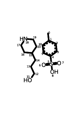 Cc1ccc(S(=O)(=O)O)cc1.OCCCC1CCNCC1